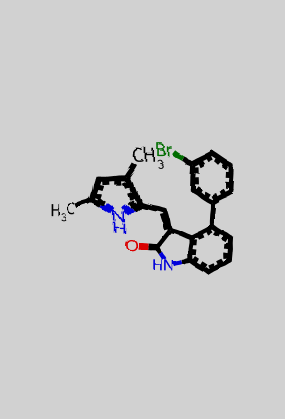 Cc1cc(C)c(C=C2C(=O)Nc3cccc(-c4cccc(Br)c4)c32)[nH]1